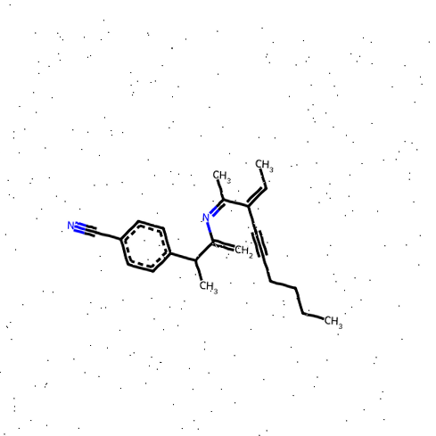 C=C(/N=C(C)\C(C#CCCCC)=C/C)C(C)c1ccc(C#N)cc1